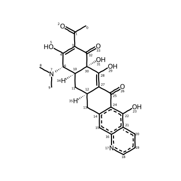 CC(=O)C1=C(O)[C@@H](N(C)C)[C@@H]2C[C@@H]3Cc4cc5ncccc5c(O)c4C(=O)C3=C(O)[C@]2(O)C1=O